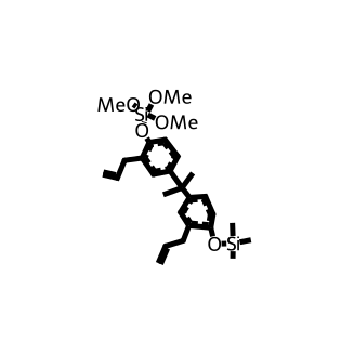 C=CCc1cc(C(C)(C)c2ccc(O[Si](OC)(OC)OC)c(CC=C)c2)ccc1O[Si](C)(C)C